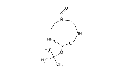 CC(C)(C)ON1CCNCCN(C=O)CCNC1